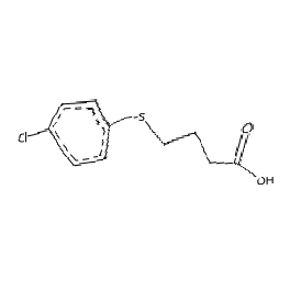 O=C(O)CCCSc1ccc(Cl)cc1